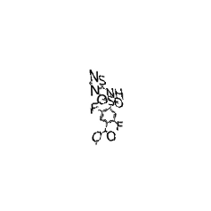 COC(=O)c1cc(F)c(S(=O)(=O)Nc2ncns2)cc1F